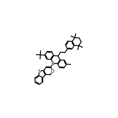 Cc1ccc2c(c1)C(CCc1ccc3c(c1)C(C)(C)CCC3(C)C)c1ccc(C(C)(C)C)cc1B2C1=Cc2sc3ccccc3c2CO1